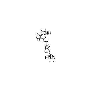 Cc1nc2c3nccnc3c3cc(-c4cc5ccc(-c6cnc(C(C)C)[nH]6)cc5s4)ccc3c2[nH]1